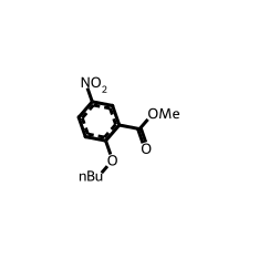 CCCCOc1ccc([N+](=O)[O-])cc1C(=O)OC